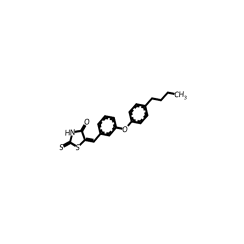 CCCCc1ccc(Oc2cccc(C=C3SC(=S)NC3=O)c2)cc1